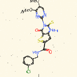 COc1cnc(-n2c(=S)[nH]c3cc(C(=O)NCc4cccc(Cl)c4)sc3c2=O)nc1OC